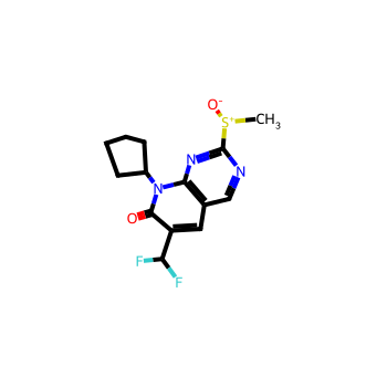 C[S+]([O-])c1ncc2cc(C(F)F)c(=O)n(C3CCCC3)c2n1